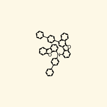 c1ccc(-c2ccc(-c3cc4c(oc5cccc(N(c6ccc(-c7ccccc7)cc6)c6cccc7c6oc6ccccc67)c54)c4ccccc34)cc2)cc1